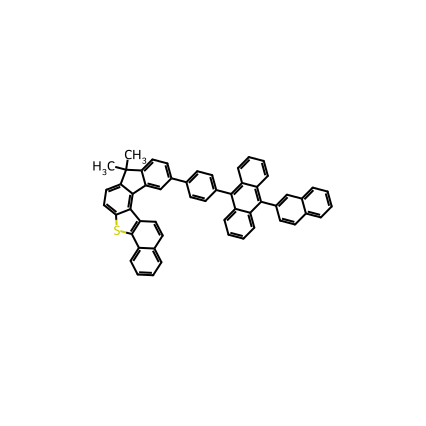 CC1(C)c2ccc(-c3ccc(-c4c5ccccc5c(-c5ccc6ccccc6c5)c5ccccc45)cc3)cc2-c2c1ccc1sc3c4ccccc4ccc3c21